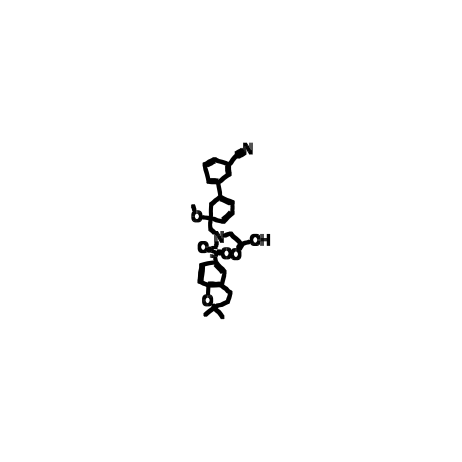 COC1(CN(CC(=O)O)S(=O)(=O)c2ccc3c(c2)CCC(C)(C)O3)C=CC=C(c2cccc(C#N)c2)C1